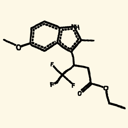 CCOC(=O)CC(c1c(C)[nH]c2ccc(OC)cc12)C(F)(F)F